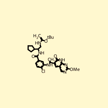 C=C(NCC(NC(=O)c1ccc(Cl)c(NC(=C)c2cc3cnc(OC)nc3[nH]c2=O)c1)C1CCCC1)OC(C)(C)C